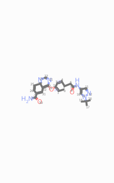 C/C=C(\C=C/CCC(=O)Nc1cnn(C(C)(C)C)c1)Oc1ncnc2ccc(C(N)=O)cc12